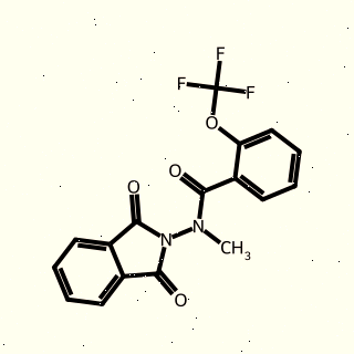 CN(C(=O)c1ccccc1OC(F)(F)F)N1C(=O)c2ccccc2C1=O